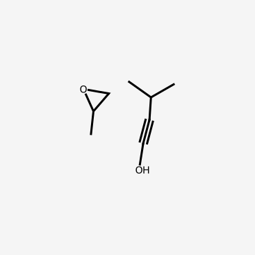 CC(C)C#CO.CC1CO1